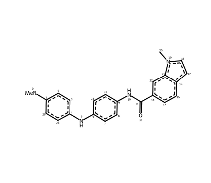 CNc1ccc(Nc2ccc(NC(=O)c3ccc4ccn(C)c4c3)cc2)cc1